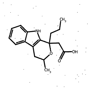 CCCC1(CC(=O)O)OC(C)Cc2c1[nH]c1ccccc21